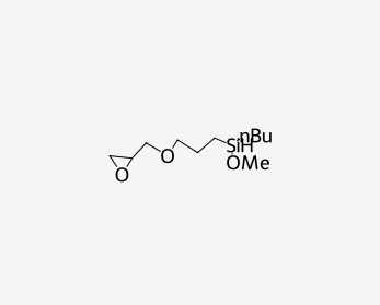 CCCC[SiH](CCCOCC1CO1)OC